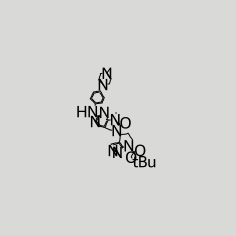 CN1CCN(c2ccc(Nc3ncc4c(n3)N(C)C(=O)N(C3CCN(C(=O)OC(C)(C)C)c5c3cnn5C)C4)cc2)CC1